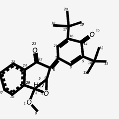 COC12OC1(O)C(=C1C=C(C(C)(C)C)C(=O)C(C(C)(C)C)=C1)C(=O)c1ccccc12